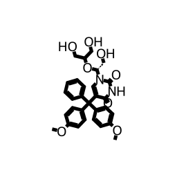 COc1ccc(C(c2ccccc2)(c2ccc(OC)cc2)c2cn([C@@H](CO)OC(CO)CO)c(=O)[nH]c2=O)cc1